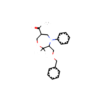 COC(=O)C1COC(C)(C)C(COCc2ccccc2)N(c2ccccc2)C1